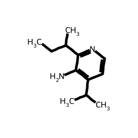 CCC(C)c1nccc(C(C)C)c1N